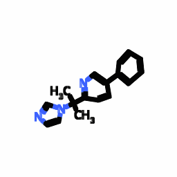 CC(C)(c1ccc(-c2ccccc2)cn1)n1ccnc1